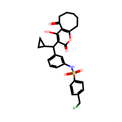 O=C1CCCCCc2oc(=O)c(C(c3cccc(NS(=O)(=O)c4ccc(CBr)cc4)c3)C3CC3)c(O)c21